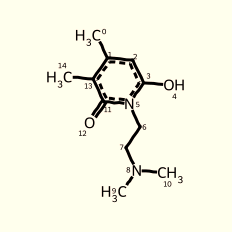 Cc1cc(O)n(CCN(C)C)c(=O)c1C